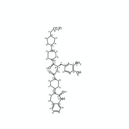 Bc1cc(C[C@@H](OC(=O)N2CCC(N3CCc4ccccc4NC3=O)CC2)C(=O)N2CCN(C3CCC(CC(=O)OCC)CC3)CC2)ccc1O